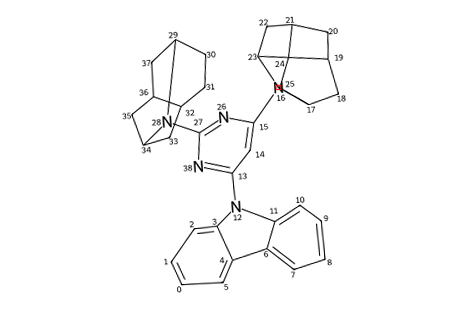 c1ccc2c(c1)c1ccccc1n2-c1cc(N2C3CC4CC5CC2C45C3)nc(N2C3CCC4CC2CC4C3)n1